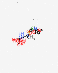 CN(CCCCNC(=O)N[C@H](CO)[C@@H](O)[C@H](O)[C@H](O)CO)CCS(=O)(=O)c1ccc(Cl)c(COC2(c3cnccc3-c3ccccc3OC3CC3)CC2)c1